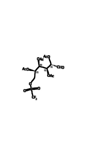 CC(=O)O[C@@H]([C@H](OC(C)=O)[C@@H](COS(=O)(=O)C(F)(F)F)OC(C)=O)[C@@H](C=O)OC(C)=O